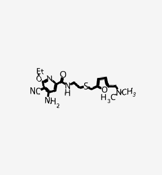 CCOc1nc(C(=O)NCCSCc2ccc(CN(C)C)o2)cc(N)c1C#N